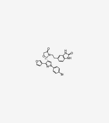 O=C1CO[C@@H](c2cn(-c3ccc(Br)cc3)nc2-c2ccoc2)N1CCc1ccc2[nH]c(=O)[nH]c2c1